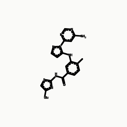 Cc1ccc(C(=O)Nc2nc(C(C)(C)C)cs2)cc1Nc1ccnn1-c1cc(N)ncn1